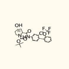 CC(C)(C)OC(=O)N1CC[C@H](O)CC1C(=O)Nc1ccc(-c2ccccc2OC(F)(F)F)c(Cl)c1